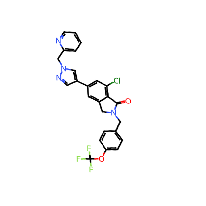 O=C1c2c(Cl)cc(-c3cnn(Cc4ccccn4)c3)cc2CN1Cc1ccc(OC(F)(F)F)cc1